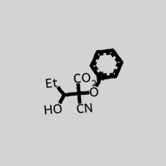 CCC(O)C(C#N)(Oc1ccccc1)C(=O)O